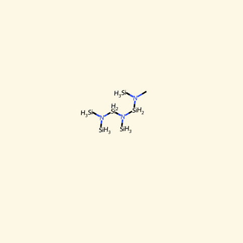 CN([SiH3])[SiH2]N([SiH3])[SiH2]N([SiH3])[SiH3]